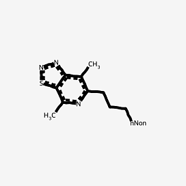 CCCCCCCCCCCCc1nc(C)c2snnc2c1C